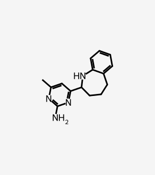 Cc1cc(C2CCCc3ccccc3N2)nc(N)n1